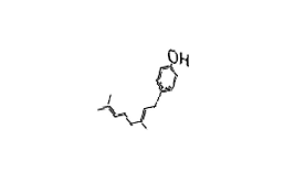 CC(C)=CCC/C(C)=C/Cc1ccc(O)cc1